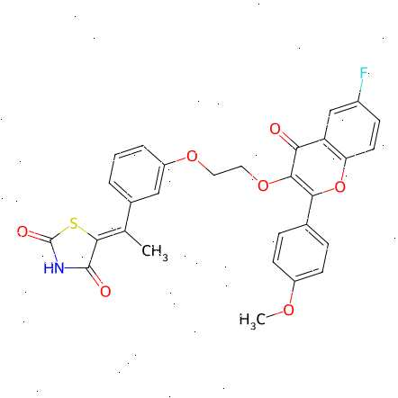 COc1ccc(-c2oc3ccc(F)cc3c(=O)c2OCCOc2cccc(/C(C)=C3\SC(=O)NC3=O)c2)cc1